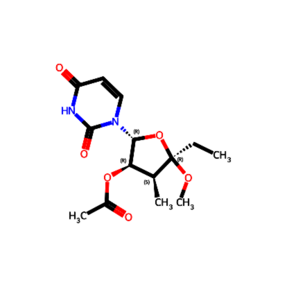 CC[C@@]1(OC)O[C@@H](n2ccc(=O)[nH]c2=O)[C@H](OC(C)=O)[C@@H]1C